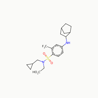 O=C(O)CN(CC1CC1)S(=O)(=O)c1ccc(NC2CC3CCC2C3)cc1C(F)(F)F